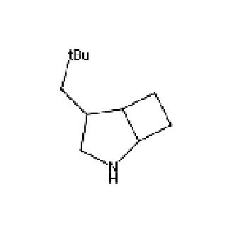 CC(C)(C)CC1CNC2CCC12